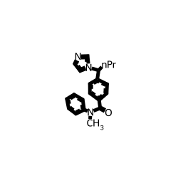 CCCC(c1ccc(C(=O)N(C)c2ccccc2)cc1)n1ccnc1